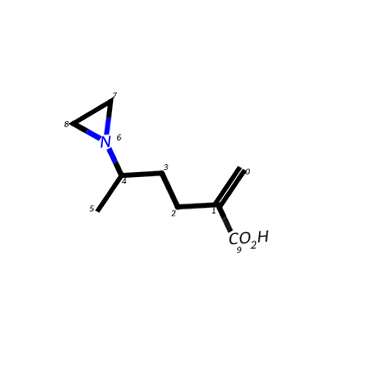 C=C(CCC(C)N1CC1)C(=O)O